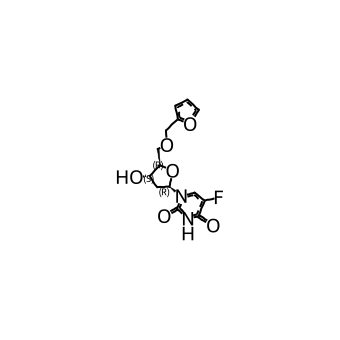 O=c1[nH]c(=O)n([C@H]2C[C@H](O)[C@@H](COCc3ccco3)O2)cc1F